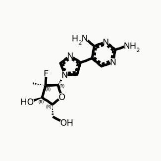 C[C@@]1(F)[C@H](O)[C@@H](CO)O[C@H]1n1cnc(-c2cnc(N)nc2N)c1